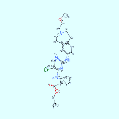 CCOC(=O)C1C2C=CC(C2)C1Nc1nc(Nc2ccc3c(c2)CCN(CCOC)CC3)ncc1Cl